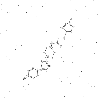 O=C(COc1cnc(Cl)cn1)N[C@@H]1CC[C@@H](c2nnc(-c3ccc(Cl)cc3)o2)OC1